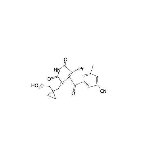 Cc1cc(C#N)cc(C(=O)c2c(C(C)C)c(=O)[nH]c(=O)n2CC2(CC(=O)O)CC2)c1